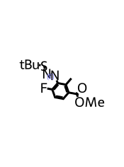 COC(=O)c1ccc(F)c(/N=N/SC(C)(C)C)c1C